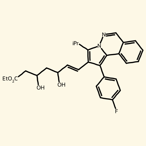 CCOC(=O)CC(O)CC(O)/C=C/c1c(-c2ccc(F)cc2)c2c3ccccc3cnn2c1C(C)C